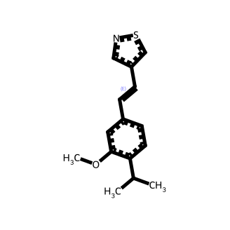 COc1cc(/C=C/c2cnsc2)ccc1C(C)C